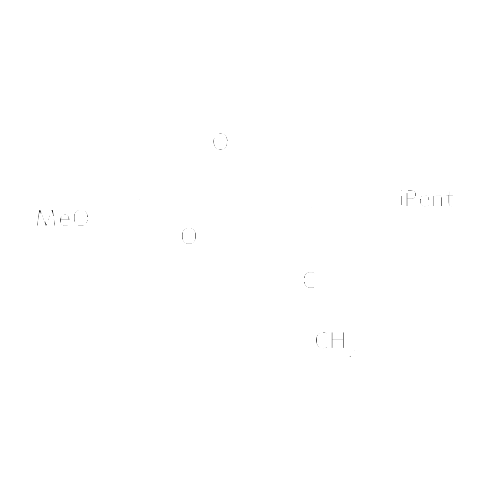 C=C=C(CC(C)CCC)C1OCC(OC)O1